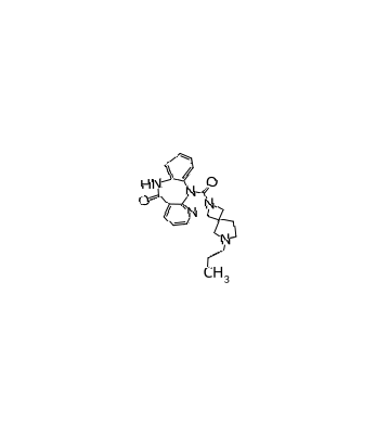 CCCN1CCC2(C1)CN(C(=O)N1c3ccccc3NC(=O)c3cccnc31)C2